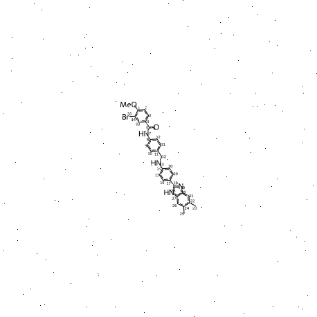 COc1ccc(C(=O)Nc2ccc(CNc3ccc(-c4nc5cc(C)c(C)cc5[nH]4)cc3)cc2)cc1Br